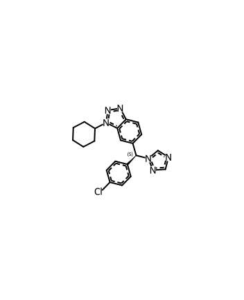 Clc1ccc([C@@H](c2ccc3nnn(C4CCCCC4)c3c2)n2cncn2)cc1